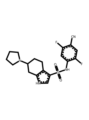 N#Cc1cc(F)c(NS(=O)(=O)c2c[nH]c3c2CCC(N2CCCC2)C3)cc1F